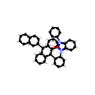 O=c1n(-c2ccccc2)c2ccccc2n1-c1ccccc1-c1c2ccccc2c(-c2ccc3ccccc3c2)c2ccccc12